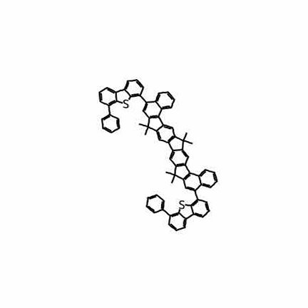 CC1(C)c2cc3c(cc2-c2cc4c(cc21)-c1c(cc(-c2cccc5c2sc2c(-c6ccccc6)cccc25)c2ccccc12)C4(C)C)C(C)(C)c1cc(-c2cccc4c2sc2c(-c5ccccc5)cccc24)c2ccccc2c1-3